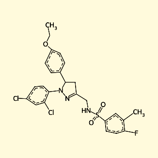 CCOc1ccc(C2CC(CNS(=O)(=O)c3ccc(F)c(C)c3)=NN2c2ccc(Cl)cc2Cl)cc1